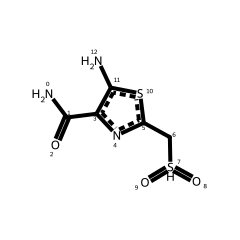 NC(=O)c1nc(C[SH](=O)=O)sc1N